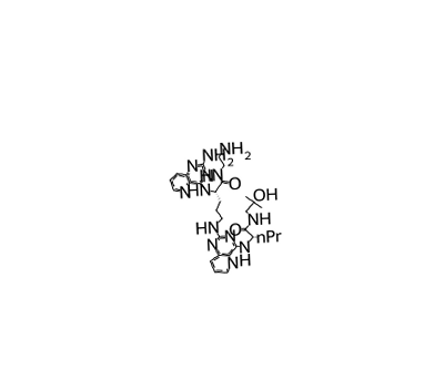 CCC[C@H](Nc1nc(NCCC[C@H](Nc2nc(N)nc3cccnc23)C(=O)NCCN)nc2cccnc12)C(=O)NCC(C)(C)O